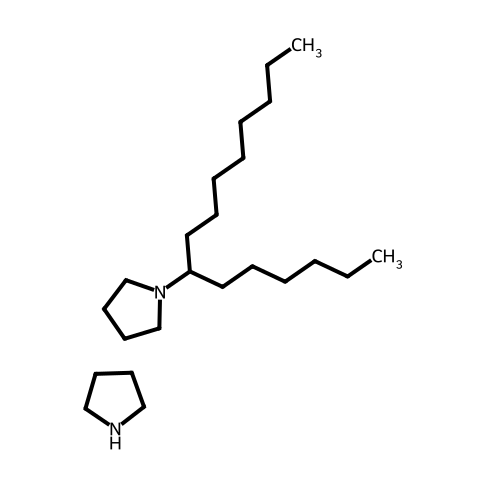 C1CCNC1.CCCCCCCCC(CCCCCC)N1CCCC1